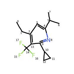 CCc1cc(C(C)C)nc(C2CC2)c1C(F)(F)F